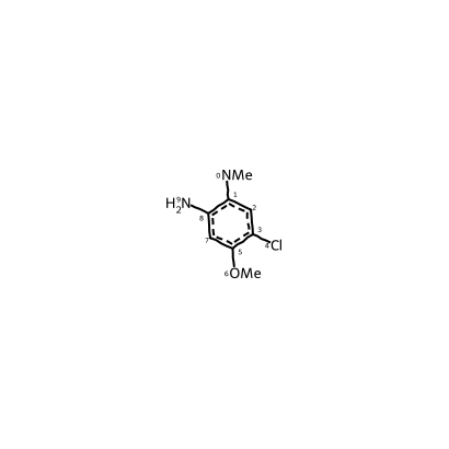 CNc1cc(Cl)c(OC)cc1N